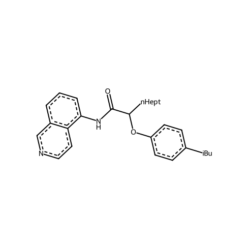 CCCCCCCC(Oc1ccc(C(C)CC)cc1)C(=O)Nc1cccc2cnccc12